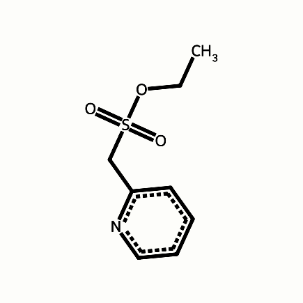 CCOS(=O)(=O)Cc1ccccn1